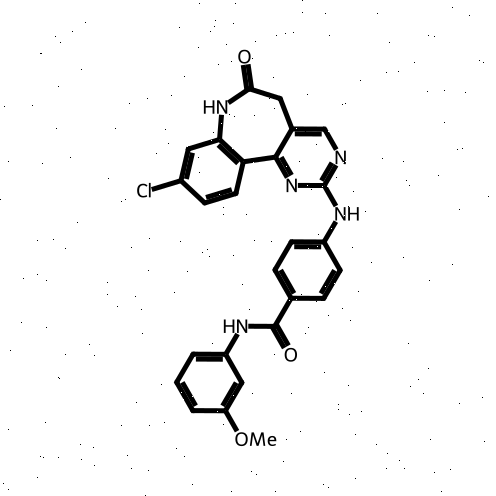 COc1cccc(NC(=O)c2ccc(Nc3ncc4c(n3)-c3ccc(Cl)cc3NC(=O)C4)cc2)c1